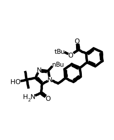 CCCCc1nc(C(C)(C)O)c(C(N)=O)n1Cc1ccc(-c2ccccc2C(=O)OC(C)(C)C)cc1